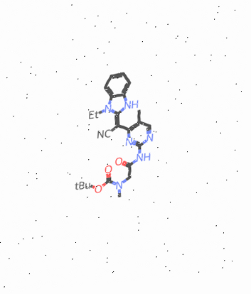 CCN1/C(=C(\C#N)c2nc(NC(=O)CN(C)C(=O)OC(C)(C)C)ncc2C)Nc2ccccc21